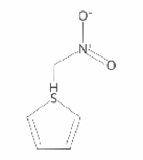 O=[N+]([O-])C[SH]1C=CC=C1